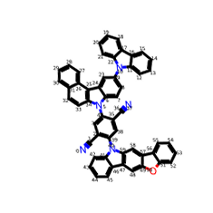 N#Cc1cc(-n2c3ccc(-n4c5ccccc5c5ccccc54)cc3c3c4ccccc4ccc32)c(C#N)cc1-n1c2ccccc2c2cc3oc4ccccc4c3cc21